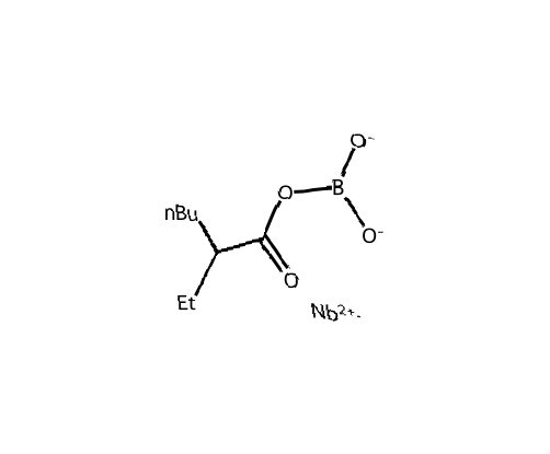 CCCCC(CC)C(=O)OB([O-])[O-].[Nb+2]